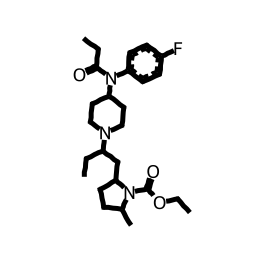 CCOC(=O)N1C(C)CCC1CC(CC)N1CCC(N(C(=O)CC)c2ccc(F)cc2)CC1